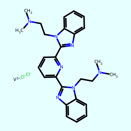 CN(C)CCn1c(-c2cccc(-c3nc4ccccc4n3CCN(C)C)n2)nc2ccccc21.[Cl-].[Cl-].[V+2]